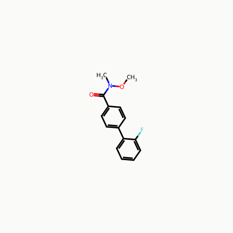 CON(C)C(=O)c1ccc(-c2ccccc2F)cc1